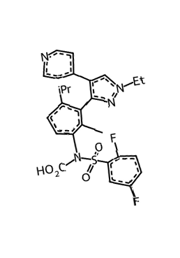 CCn1cc(-c2ccncc2)c(-c2c(C(C)C)ccc(N(C(=O)O)S(=O)(=O)c3cc(F)ccc3F)c2C)n1